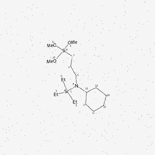 CC[Si](CC)(CC)N(CCC[Si](OC)(OC)OC)C1CCCCC1